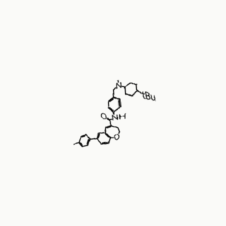 Cc1ccc(-c2ccc3c(c2)C=C(C(=O)Nc2ccc(CN(C)C4CCC(C(C)(C)C)CC4)cc2)CCO3)cc1